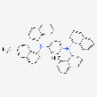 Cc1ccc2c(N(c3ccc(N(c4cccc5ccccc45)c4cccc5cccc(C)c45)cc3)c3cccc4ccccc34)cccc2c1